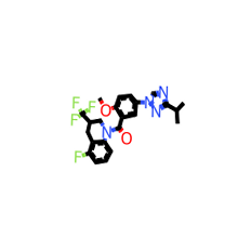 COc1ccc(-n2cnc(C(C)C)n2)cc1C(=O)N1CC(C(F)(F)F)Cc2c(F)cccc21